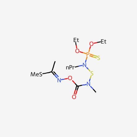 CCCN(SN(C)C(=O)ON=C(C)SC)P(=S)(OCC)OCC